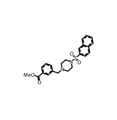 COC(=O)c1cccc(CN2CCN(S(=O)(=O)c3ccc4ccccc4c3)CC2)c1